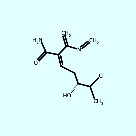 C=NC(=C)/C(=C\C[C@@H](O)C(C)Cl)C(N)=O